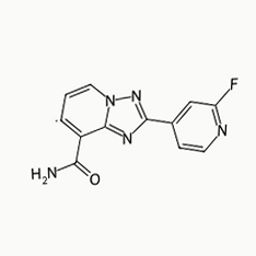 NC(=O)c1[c]ccn2nc(-c3ccnc(F)c3)nc12